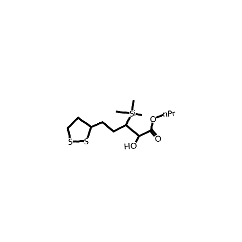 CCCOC(=O)C(O)C(CCC1CCSS1)[Si](C)(C)C